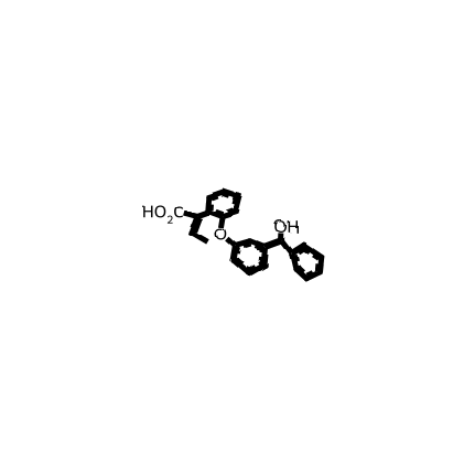 C/C=C(/C(=O)O)c1ccccc1Oc1cccc(C(O)c2ccccc2)c1